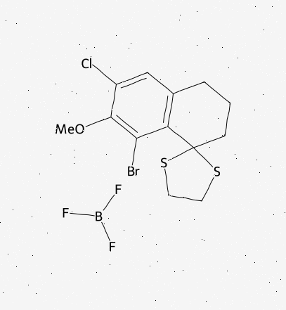 COc1c(Cl)cc2c(c1Br)C1(CCC2)SCCS1.FB(F)F